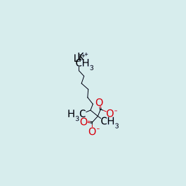 CCCCCCCC(C)C(C)(C(=O)[O-])C(=O)[O-].[K+].[Li+]